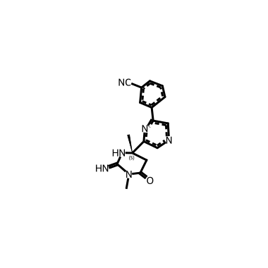 CN1C(=N)N[C@](C)(c2cncc(-c3cccc(C#N)c3)n2)CC1=O